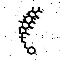 C=C(C)C1=C(C)CC2(C)C(C)C3(C)C(=C(C)C2(C)C1=C)C(=C)c1c(ccc(C(C)(C)CCCN2CCOCC2)c1C)C3C